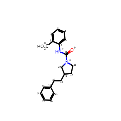 O=C(O)c1ccccc1NC(=O)N1CCC(CCc2ccccc2)C1